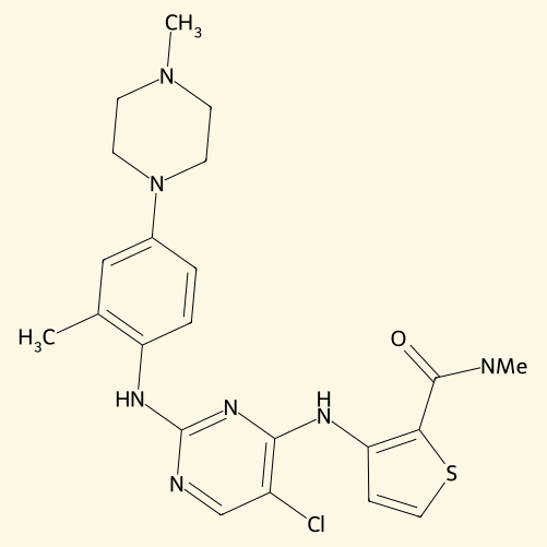 CNC(=O)c1sccc1Nc1nc(Nc2ccc(N3CCN(C)CC3)cc2C)ncc1Cl